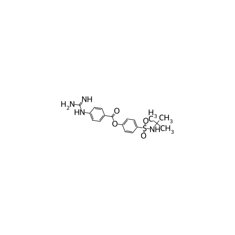 CC(C)(C)NS(=O)(=O)c1ccc(OC(=O)c2ccc(NC(=N)N)cc2)cc1